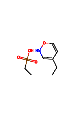 CCC1=CNOC=C1.CCS(=O)(=O)O